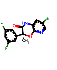 C[C@@]1(c2cc(F)cc(F)c2)Oc2ncc(Br)cc2NC1=O